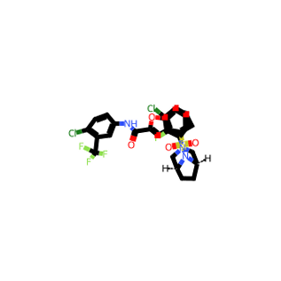 O=C(Nc1ccc(Cl)c(C(F)(F)F)c1)c1cc2c(N3C[C@H]4CC[C@@H](C3)N4S(=O)(=O)c3cccc(Cl)c3F)cccc2o1